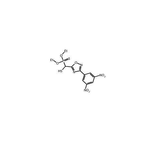 CCOP(=S)(OCC)C(S)c1nc(-c2cc([N+](=O)[O-])cc([N+](=O)[O-])c2)no1